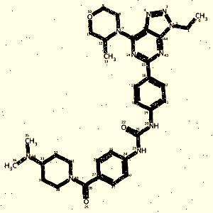 CCn1nnc2c(N3CCOCC3C)nc(-c3ccc(NC(=O)Nc4ccc(C(=O)N5CCC(N(C)C)CC5)cc4)cc3)nc21